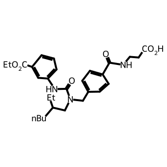 CCCCC(CC)CN(Cc1ccc(C(=O)NCCC(=O)O)cc1)C(=O)Nc1cccc(C(=O)OCC)c1